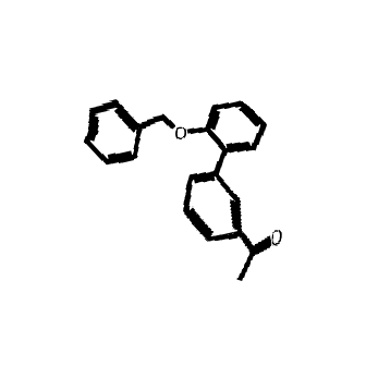 CC(=O)c1cccc(-c2ccccc2OCc2ccccc2)c1